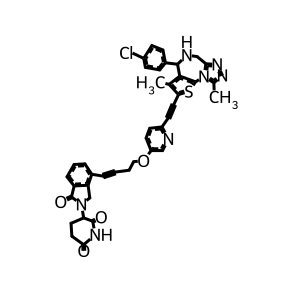 Cc1c(C#Cc2ccc(OCCC#Cc3cccc4c3CN(C3CCC(=O)NC3=O)C4=O)cn2)sc2c1C(c1ccc(Cl)cc1)NCc1nnc(C)n1-2